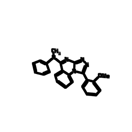 COc1ccccc1-c1nnc2nc(N(C)c3ccccc3)c3ccccc3n12